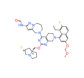 CCc1c(F)ccc2cc(OCOC)cc(N3CCc4c(nc(OC[C@@]56CCCN5C[C@H](F)C6)nc4N4CCCn5nc(NC=O)cc5C4)C3)c12